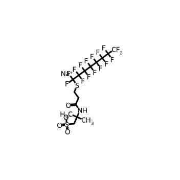 CC(C)(CS(=O)(=O)[O-])NC(=O)CCSC(F)(F)C(F)(F)C(F)(F)C(F)(F)C(F)(F)C(F)(F)C(F)(F)C(F)(F)F.[Na+]